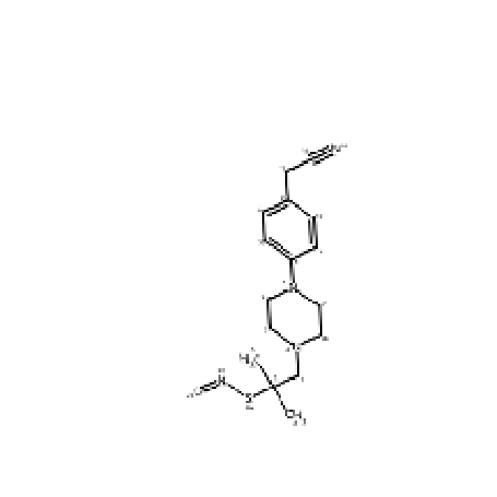 CC(C)(CN1CCN(c2ccc(CC#N)cc2)CC1)SN=O